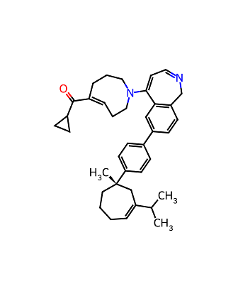 CC(C)C1=CCCC[C@](C)(c2ccc(-c3ccc4c(c3)C(N3CC/C=C(\C(=O)C5CC5)CCC3)=CC=NC4)cc2)C1